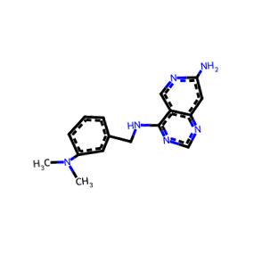 CN(C)c1cccc(CNc2ncnc3cc(N)ncc23)c1